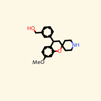 COc1ccc2c(c1)OC1(CCNCC1)CC2c1cccc(CO)c1